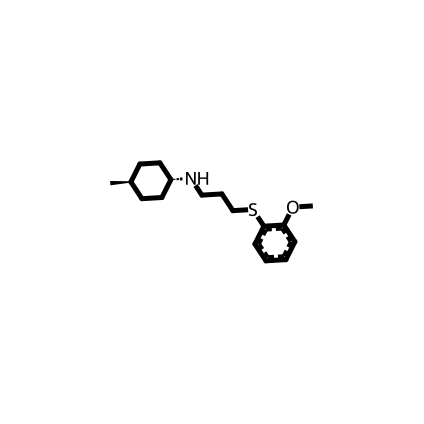 COc1ccccc1SCCCN[C@H]1CC[C@H](C)CC1